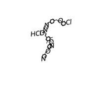 Cc1cc(C=CC(=O)N2CCN(Cc3ccc(CCOc4cccc(Cl)c4)cc3)CC2)cc(C)c1Oc1ccc(OCc2ccncc2)cn1.Cl